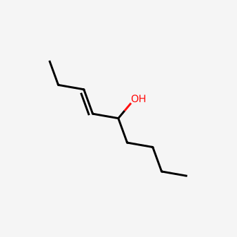 CC/C=C/C(O)CCCC